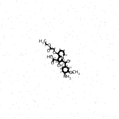 CCOC(=O)COc1cccn2c(C(=O)c3ccc(N)c(OC)c3)c(C)c(C(=O)O)c12